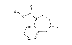 CC1CCN(C(=O)OC(C)(C)C)c2ccccc2C1